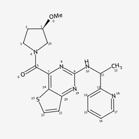 CO[C@@H]1CCN(C(=O)c2nc(NC(C)c3ccccn3)nc3ccsc23)C1